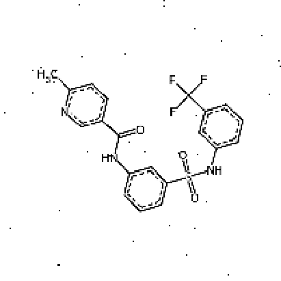 Cc1ccc(C(=O)Nc2cccc(S(=O)(=O)Nc3cccc(C(F)(F)F)c3)c2)cn1